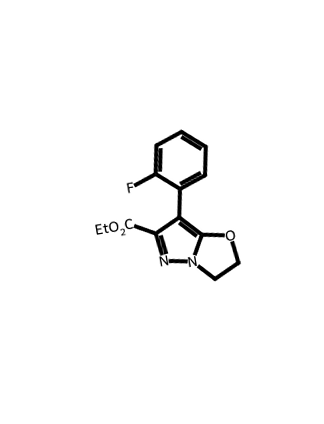 CCOC(=O)c1nn2c(c1-c1ccccc1F)OCC2